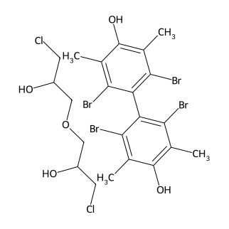 Cc1c(O)c(C)c(Br)c(-c2c(Br)c(C)c(O)c(C)c2Br)c1Br.OC(CCl)COCC(O)CCl